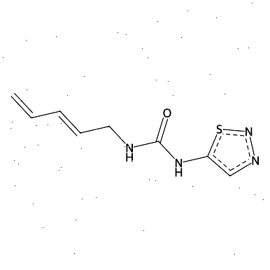 C=CC=CCNC(=O)Nc1cnns1